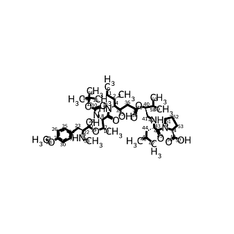 CC[C@H](C)[C@@H](NC(=O)[C@@H](NC(=O)OC(C)(C)C)[C@@H](C)OC(=O)[C@H](Cc1ccc(OC)cc1)NC)[C@@H](O)CC(=O)O[C@H](CN[C@@H](CC(C)C)C(=O)N1CCC[C@H]1C(=O)O)C(C)C